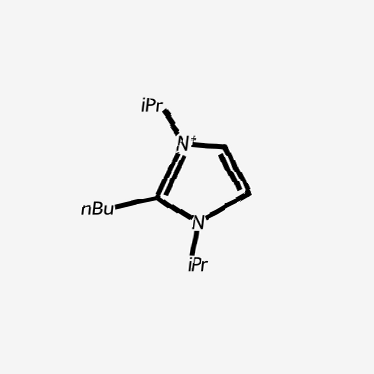 CCCCc1n(C(C)C)cc[n+]1C(C)C